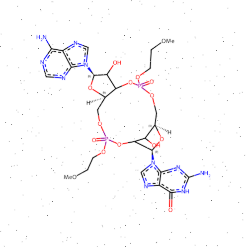 COCCOP1(=O)OC[C@H]2O[C@@H](n3cnc4c(N)ncnc43)C(O)C2OP(=O)(OCCOC)OC[C@H]2O[C@@H](n3cnc4c(=O)[nH]c(N)nc43)C(O1)C2O